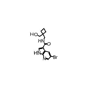 O=C(NCC1(CO)CCC1)c1c[nH]c2ncc(Br)cc12